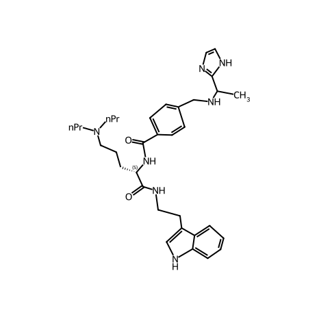 CCCN(CCC)CCC[C@H](NC(=O)c1ccc(CNC(C)c2ncc[nH]2)cc1)C(=O)NCCc1c[nH]c2ccccc12